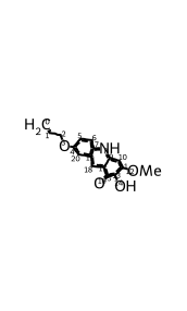 C=CCOc1ccc2[nH]c3cc(OC)c(O)c(=O)c-3cc2c1